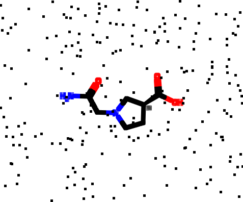 NC(=O)CN1CC[C@H](C(=O)O)C1